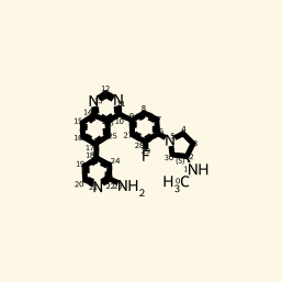 CN[C@H]1CCN(c2ccc(-c3ncnc4ccc(-c5ccnc(N)c5)cc34)cc2F)C1